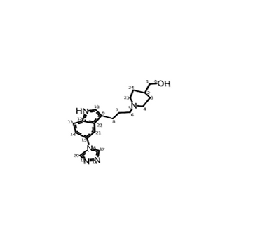 OCC1CCN(CCCc2c[nH]c3ccc(-n4cnnc4)cc23)CC1